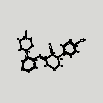 CN1CCN(c2ccccc2C=C2CCCN(c3ccc(Cl)cc3)C2=O)CC1